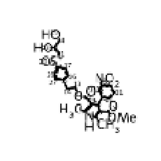 COC(=O)C1=C(C)NC(C)=C(C(=O)OCCc2ccc([S+]([O-])CC(O)CO)cc2)C1c1cccc([N+](=O)[O-])c1